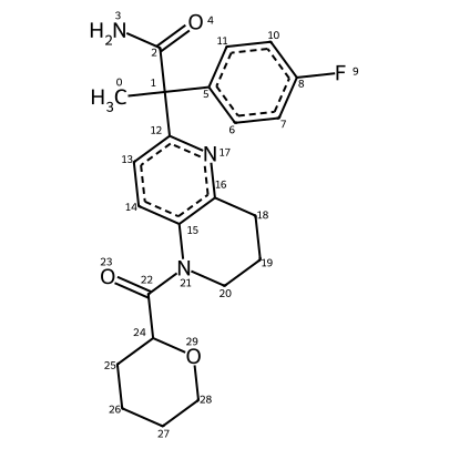 CC(C(N)=O)(c1ccc(F)cc1)c1ccc2c(n1)CCCN2C(=O)C1CCCCO1